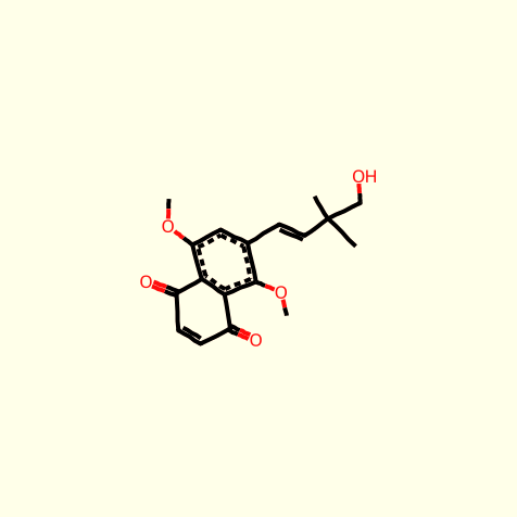 COc1cc(C=CC(C)(C)CO)c(OC)c2c1C(=O)C=CC2=O